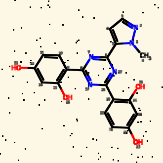 Cn1nccc1-c1nc(-c2ccc(O)cc2O)nc(-c2ccc(O)cc2O)n1